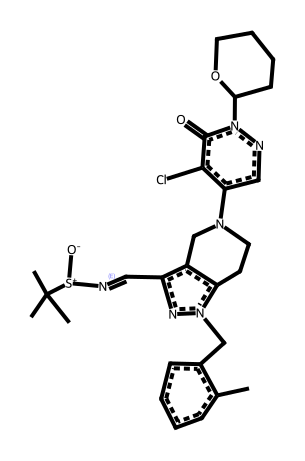 Cc1ccccc1Cn1nc(/C=N/[S+]([O-])C(C)(C)C)c2c1CCN(c1cnn(C3CCCCO3)c(=O)c1Cl)C2